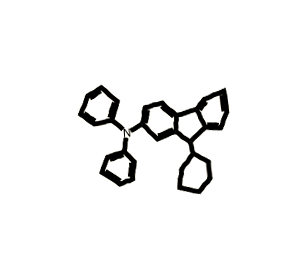 c1ccc(N(c2ccccc2)c2ccc3c(c2)C(C2CCCCC2)c2ccccc2-3)cc1